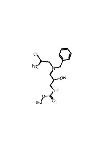 CC(C)(C)OC(=O)NCC(O)CN(Cc1ccccc1)CC(Cl)C#N